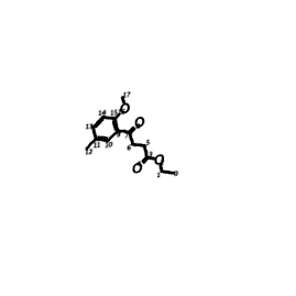 CCOC(=O)CCC(=O)c1cc(C)ccc1OC